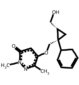 Cc1nn(C)c(=O)cc1OC[C@@]1(C2C=CC=CC2)C[C@H]1CO